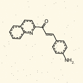 Nc1ccc(C=CC(=O)c2ccc3ccccc3n2)cc1